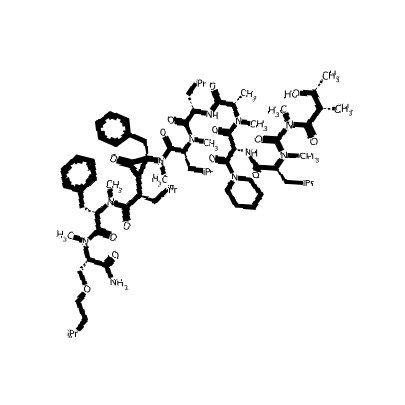 CC(C)CCOC[C@@H](C(N)=O)N(C)C(=O)[C@H](Cc1ccccc1)N(C)C(=O)[C@H](CC(C)C)C1C(=O)[C@]1(Cc1ccccc1)N(C)C(=O)[C@H](CC(C)C)N(C)C(=O)[C@H](CC(C)C)NC(=O)[C@H](C)N(C)C(=O)[C@H](NC(=O)[C@H](CC(C)C)N(C)C(=O)N(C)C(=O)[C@@H](C)[C@@H](C)O)C(=O)N1CCCCC1